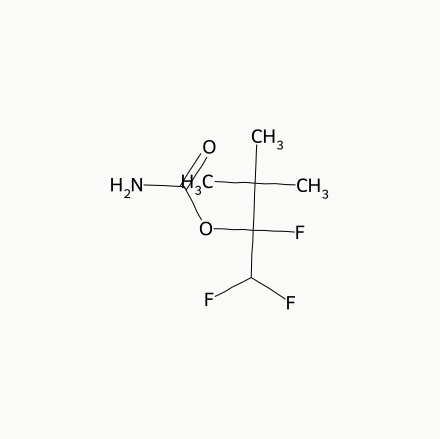 CC(C)(C)C(F)(OC(N)=O)C(F)F